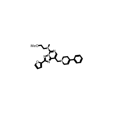 COCCN(C)c1ncc(CN2CC=C(c3ccccc3)CC2)c2nc(-c3ccco3)nn12